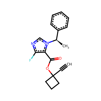 C#CC1(OC(=O)c2c(F)ncn2[C@H](C)c2ccccc2)CCC1